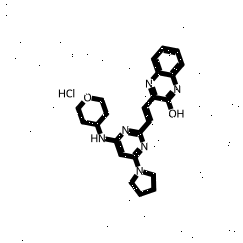 Cl.Oc1nc2ccccc2nc1/C=C/c1nc(NC2CCOCC2)cc(N2CCCC2)n1